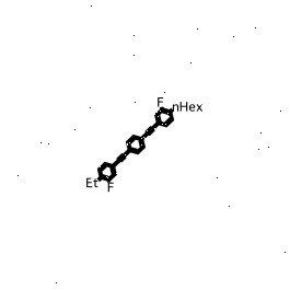 CCCCCCc1ccc(C#Cc2ccc(C#Cc3ccc(CC)c(F)c3)cc2)cc1F